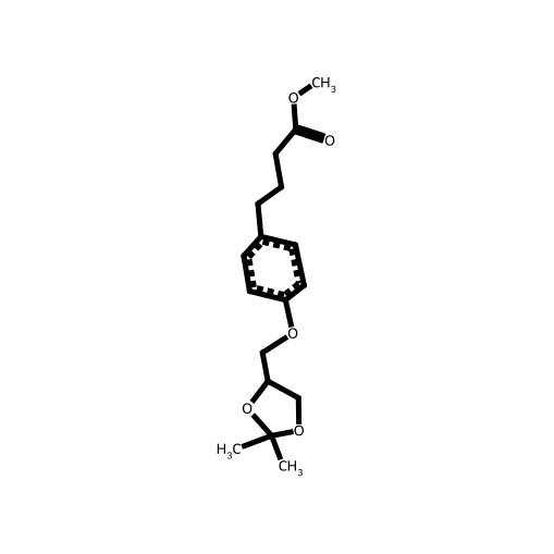 COC(=O)CCCc1ccc(OCC2COC(C)(C)O2)cc1